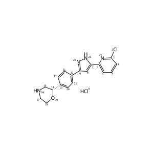 Cl.Clc1cccc(-c2cc(-c3ccc([C@H]4CNCCO4)cc3)n[nH]2)n1